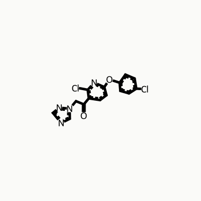 O=C(Cn1cncn1)c1ccc(Oc2ccc(Cl)cc2)nc1Cl